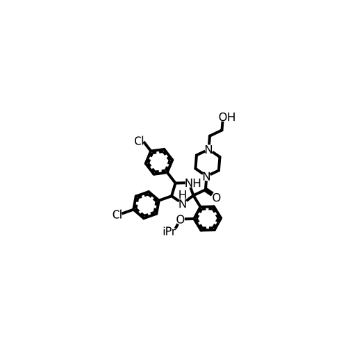 CC(C)Oc1ccccc1C1(C(=O)N2CCN(CCO)CC2)NC(c2ccc(Cl)cc2)C(c2ccc(Cl)cc2)N1